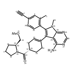 C#Cc1cc(C)c(-c2c(C3=CC[C@@H](C(=O)N4CCC[C@H]4COC)CC3)c3c(N)ncnc3n2C)cn1